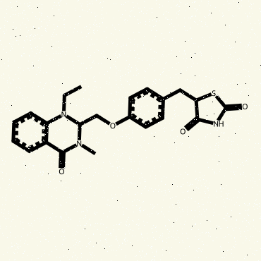 CCN1c2ccccc2C(=O)N(C)C1COc1ccc(CC2SC(=O)NC2=O)cc1